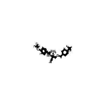 CC(C#N)(COCc1ccc(C(F)(F)F)cc1)NC(=O)c1ccc(OC(F)(F)F)cc1